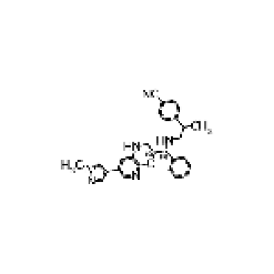 CC(CN[C@H](c1ccccc1)[C@@H]1CNc2cc(-c3cnn(C)c3)cnc2O1)c1ccc(C#N)cc1